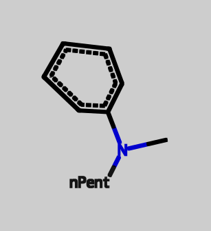 CCCCCN(C)c1ccccc1